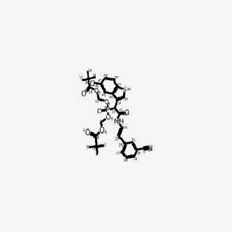 CC(C)(C)C(=O)OCOP(=O)(OCOC(=O)C(C)(C)C)C(C(=O)NC=Cc1cccc(C#N)c1)c1csc2ccc(Cl)cc12